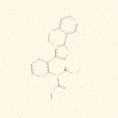 CC(C)(C)OC(=O)N(C(=O)OC(C)(C)C)c1ncccc1-c1cnc2n1COc1ccncc1-2